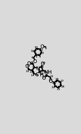 COc1ccc(COC(=O)C2C(C=O)=CS[C@H]3C(NC(=O)COc4ccccc4)C(=O)N23)cc1